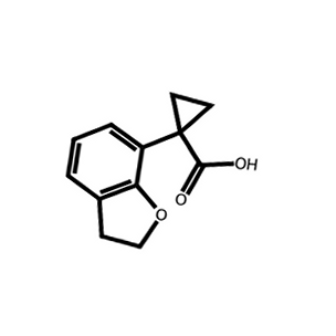 O=C(O)C1(c2cccc3c2OCC3)CC1